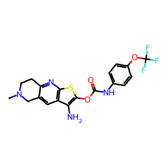 CN1CCc2nc3sc(OC(=O)Nc4ccc(OC(F)(F)F)cc4)c(N)c3cc2C1